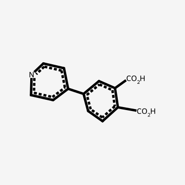 O=C(O)c1ccc(-c2ccncc2)cc1C(=O)O